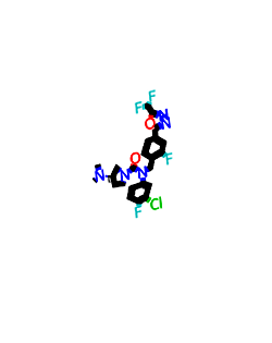 CN(C)[C@H]1CCN(C(=O)N(Cc2ccc(-c3nnc(C(F)F)o3)cc2F)c2ccc(F)c(Cl)c2)C1